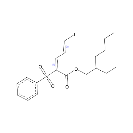 CCCCC(CC)COC(=O)/C(=C\C=C\I)S(=O)(=O)c1ccccc1